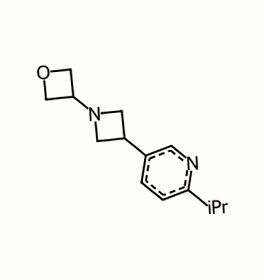 CC(C)c1ccc(C2CN(C3COC3)C2)cn1